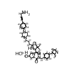 Cc1ncsc1-c1ccc(CNC(=O)[C@@H]2C[C@@H](O)CN2C(=O)C(NC(=O)CCCN2CCN(c3ccc(C#CCN)cn3)CC2)C(C)(C)C)cc1.Cl